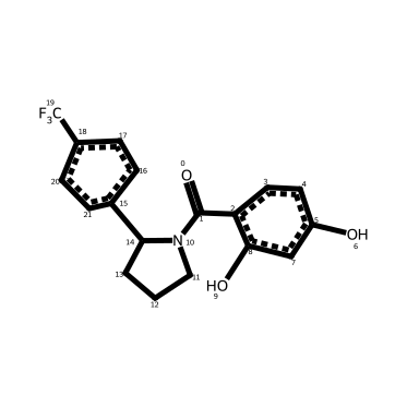 O=C(c1ccc(O)cc1O)N1CCCC1c1ccc(C(F)(F)F)cc1